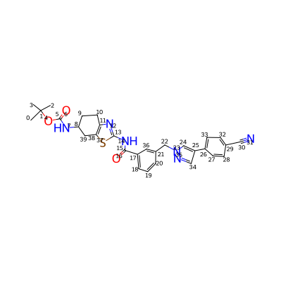 CC(C)(C)OC(=O)NC1CCc2nc(NC(=O)c3cccc(Cn4cc(-c5ccc(C#N)cc5)cn4)c3)sc2C1